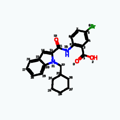 O=C(O)c1cc(Br)ccc1NC(=O)c1cc2ccccc2n1CC1CCCCC1